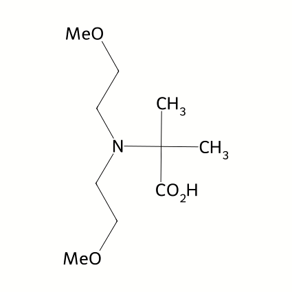 COCCN(CCOC)C(C)(C)C(=O)O